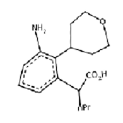 CCCC(C(=O)O)c1cccc(N)c1C1CCOCC1